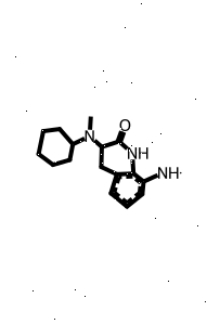 CN(C1CCCCC1)C1Cc2cccc([NH])c2NC1=O